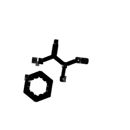 NC(=S)N(Cl)C=O.c1ccncc1